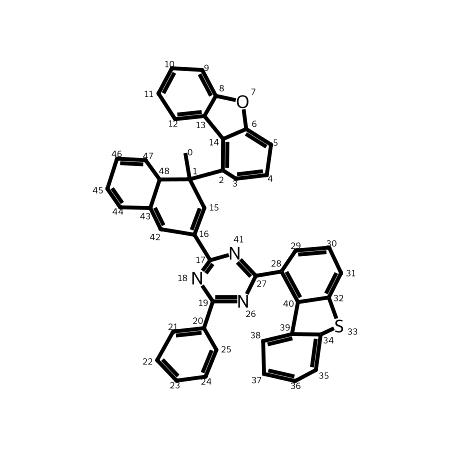 CC1(c2cccc3oc4ccccc4c23)C=C(c2nc(-c3ccccc3)nc(-c3cccc4sc5ccccc5c34)n2)C=C2C=CC=CC21